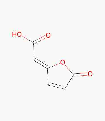 O=C(O)C=C1C=CC(=O)O1